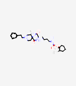 CCCN1C(=O)[C@H](CCCCNC(=O)OC2(C)CCCCC2C(C)C)NC(=O)C12CCN(CCc1ccccc1)CC2